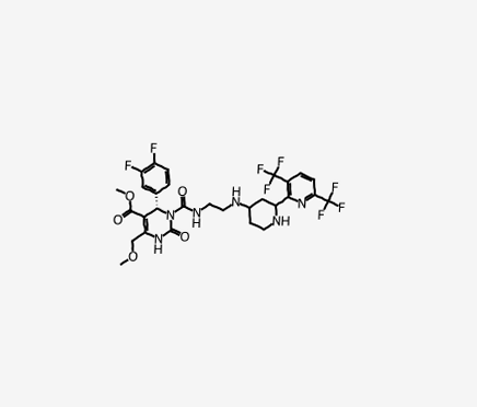 COCC1=C(C(=O)OC)[C@H](c2ccc(F)c(F)c2)N(C(=O)NCCNC2CCNC(c3nc(C(F)(F)F)ccc3C(F)(F)F)C2)C(=O)N1